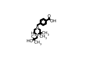 CC(C)(O)CN1CCN(Cc2ccc(C(=O)O)cc2)CC1(C)C